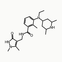 CCN(c1cccc(C(=O)NCc2c(C)n(C)[nH]c2=O)c1C)C1CC(C)NC(C)C1